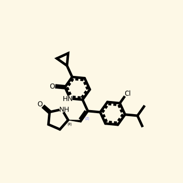 CC(C)c1ccc(/C(=C/[C@H]2CCC(=O)N2)c2ccc(C3CC3)c(=O)[nH]2)cc1Cl